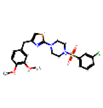 COc1ccc(Cc2csc(N3CCN(S(=O)(=O)c4cccc(Cl)c4)CC3)n2)cc1OC